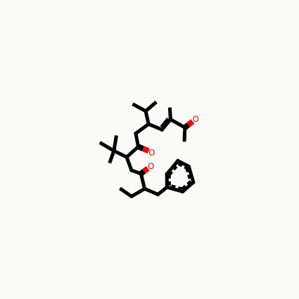 CCC(Cc1ccccc1)C(=O)CC(C(=O)CC(/C=C(\C)C(C)=O)C(C)C)C(C)(C)C